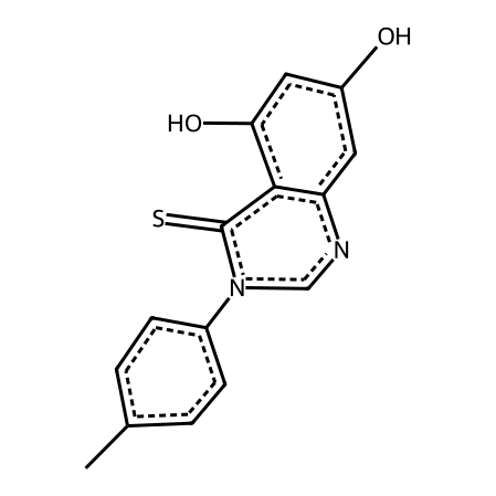 Cc1ccc(-n2cnc3cc(O)cc(O)c3c2=S)cc1